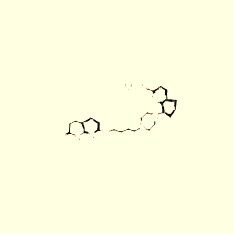 CNc1ccc2cccc(N3CCN(CCCCOc4ccc5c(n4)NC(=O)CC5)CC3)c2n1